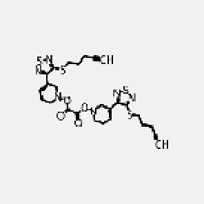 C#CCCCSc1nsnc1C1=CCCN(OC(=O)C(=O)ON2CCC=C(c3nsnc3SCCCC#C)C2)C1